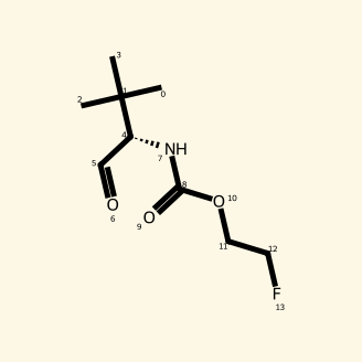 CC(C)(C)[C@@H](C=O)NC(=O)OCCF